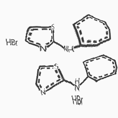 Br.Br.c1ccc(Nc2nccs2)cc1.c1ccc(Nc2nccs2)cc1